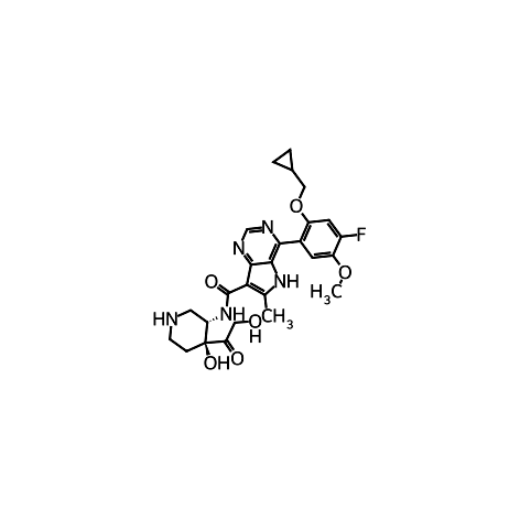 COc1cc(-c2ncnc3c(C(=O)N[C@H]4CNCC[C@@]4(O)C(=O)CO)c(C)[nH]c23)c(OCC2CC2)cc1F